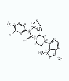 C[C@@H]1C[C@@H](O)c2ncnc(N3CCN(C(=O)[C@@H](c4ccc(C(F)(F)F)c(F)c4)[C@@H]4CCCN4)CC3)c21